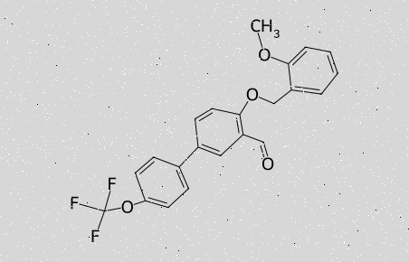 COc1ccccc1COc1ccc(-c2ccc(OC(F)(F)F)cc2)cc1C=O